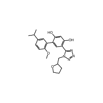 COc1ccc(C(C)C)cc1-c1cc(-c2nnnn2CC2CCCO2)c(O)cc1O